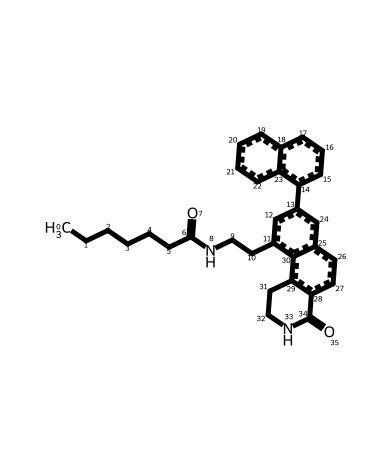 CCCCCCC(=O)NCCc1cc(-c2cccc3ccccc23)cc2ccc3c(c12)CCNC3=O